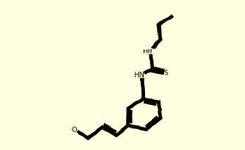 CCCNC(=S)Nc1cccc(C=CC[O])c1